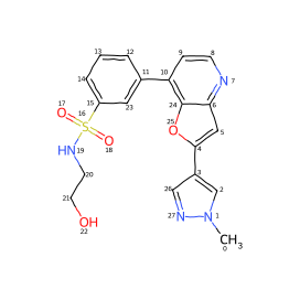 Cn1cc(-c2cc3nccc(-c4cccc(S(=O)(=O)NCCO)c4)c3o2)cn1